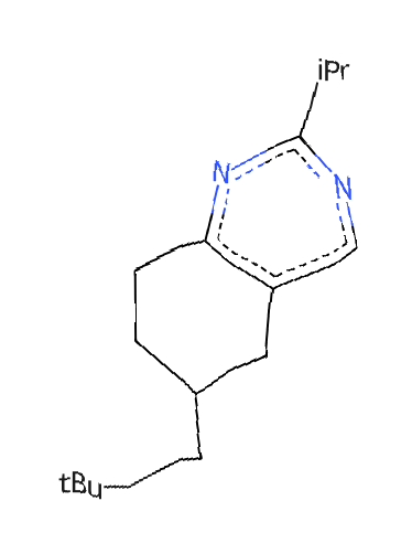 CC(C)c1ncc2c(n1)CCC(CC(C)(C)C)C2